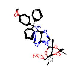 C#C[C@@]12OC(C)(C)O[C@@H]1[C@@](CC)(CO)O[C@H]2n1cnc2c(NC(c3ccccc3)(c3ccccc3)c3ccc(OC)cc3)ncnc21